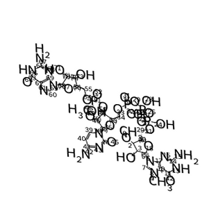 COC1C(O)[C@@H](n2c[n+](C)c3c(=O)[nH]c(N)nc32)O[C@H]1COP(=O)(O)OP(=O)(O)OP(=O)(O)OC[C@H]1O[C@@H](n2ccc(N)nc2=O)[C@@H](OC)[C@H]1OP(=O)(O)OC[C@H]1O[C@@H](n2cnc3c(=O)[nH]c(N)nc32)[C@@H](O)[C@H]1O